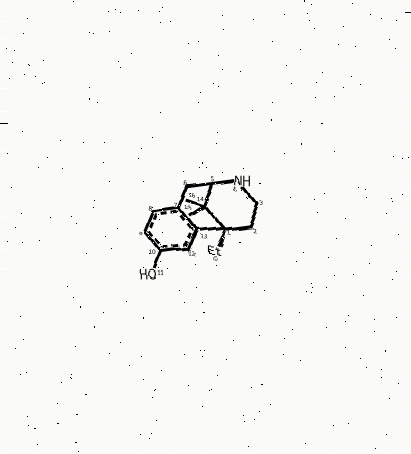 CC[C@@]12CCNC(Cc3ccc(O)cc31)C2(C)C